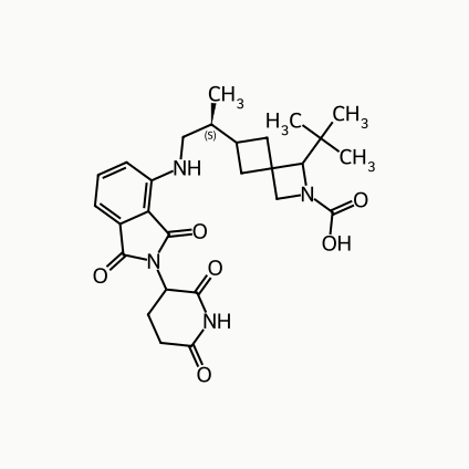 C[C@H](CNc1cccc2c1C(=O)N(C1CCC(=O)NC1=O)C2=O)C1CC2(C1)CN(C(=O)O)C2C(C)(C)C